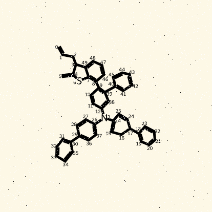 C=CCC1C(=C)Sc2c(-c3ccc(N(C4=CCC(c5ccccc5)C=C4)c4ccc(-c5ccccc5)cc4)cc3-c3ccccc3)cccc21